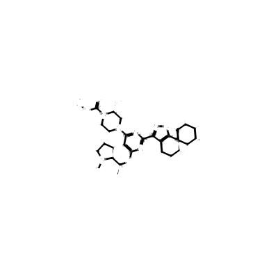 CC(C)[C@@H]1CN(c2cc(O[C@@H](C)[C@@H]3CCCN3C)nc(-c3noc4c3CCC[C@@]43CCCCC3=O)n2)CCN1C(=O)OC(C)(C)C